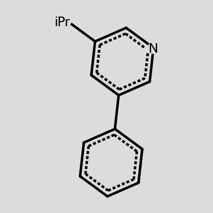 CC(C)c1cncc(-c2ccccc2)c1